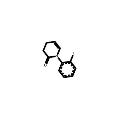 O=C1CCC=CN1c1ccccc1F